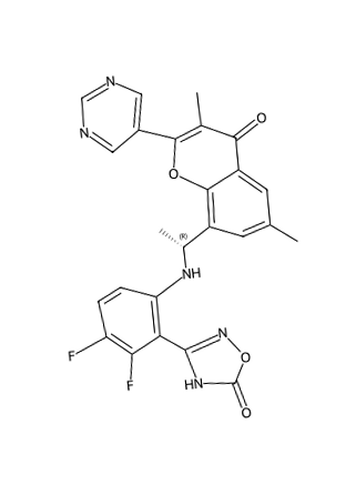 Cc1cc([C@@H](C)Nc2ccc(F)c(F)c2-c2noc(=O)[nH]2)c2oc(-c3cncnc3)c(C)c(=O)c2c1